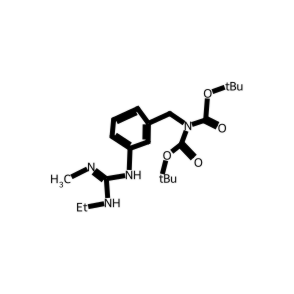 CCNC(=NC)Nc1cccc(CN(C(=O)OC(C)(C)C)C(=O)OC(C)(C)C)c1